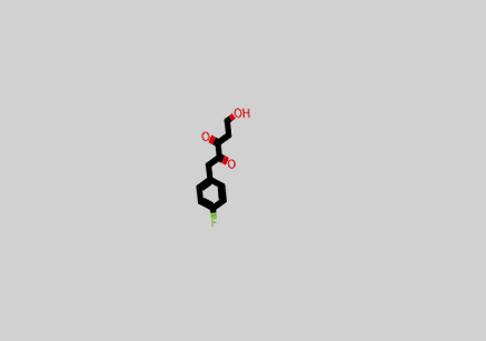 O=C(CCO)C(=O)Cc1ccc(F)cc1